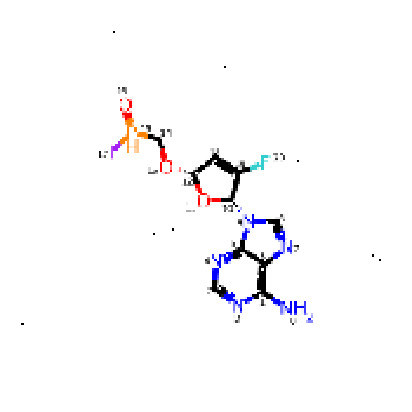 Nc1ncnc2c1ncn2[C@@H]1O[C@H](OC[PH](=O)I)C=C1F